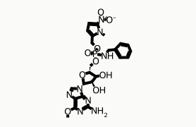 COc1nc(N)nc2c1ncn2[C@@H]1O[C@H](COP(=O)(NCc2ccccc2)OCc2ccc([N+](=O)[O-])n2C)C(O)[C@H]1O